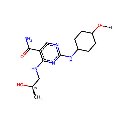 CCOC1CCC(Nc2ncc(C(N)=O)c(NC[C@@H](C)O)n2)CC1